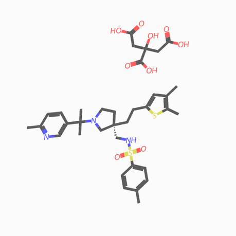 Cc1ccc(S(=O)(=O)NC[C@@]2(CCc3cc(C)c(C)s3)CCN(C(C)(C)c3ccc(C)nc3)C2)cc1.O=C(O)CC(O)(CC(=O)O)C(=O)O